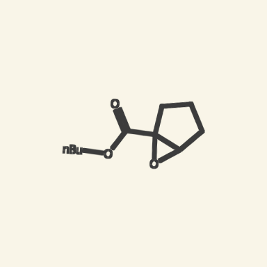 CCCCOC(=O)C12CCCC1O2